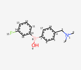 CN(C)Cc1ccc(B(O)c2cccc(F)c2)cc1